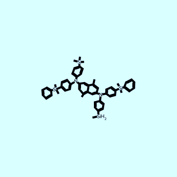 C[SiH2]c1ccc(N(c2ccc([Si](C)(C)c3ccccc3)cc2)c2cc(C)c3cc(N(c4ccc([Si](C)(C)C)cc4)c4ccc([Si](C)(C)c5ccccc5)cc4)cc(C)c3c2)cc1